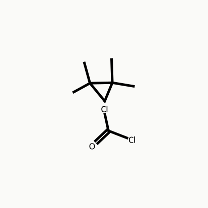 CC1(C)CC1(C)C.O=C(Cl)Cl